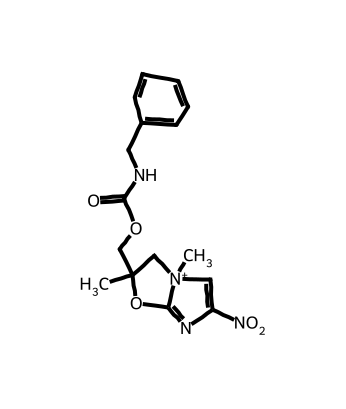 CC1(COC(=O)NCc2ccccc2)C[N+]2(C)C=C([N+](=O)[O-])N=C2O1